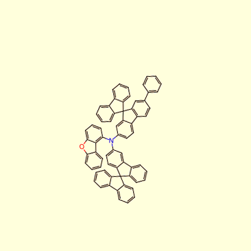 c1ccc(-c2ccc3c(c2)C2(c4ccccc4-c4ccccc42)c2cc(N(c4ccc5c(c4)-c4ccccc4C54c5ccccc5-c5ccccc54)c4cccc5oc6ccccc6c45)ccc2-3)cc1